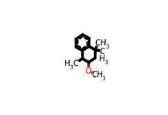 COC1CC(C)(C)c2ccccc2C1C